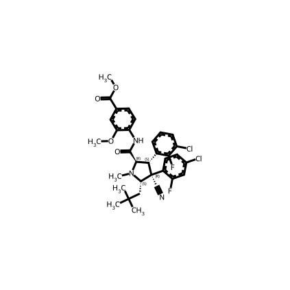 COC(=O)c1ccc(NC(=O)[C@H]2[C@H](c3cccc(Cl)c3F)[C@@](C#N)(c3ccc(Cl)cc3F)[C@H](CC(C)(C)C)N2C)c(OC)c1